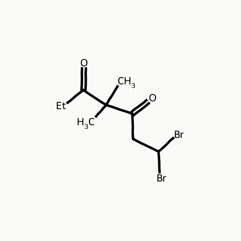 CCC(=O)C(C)(C)C(=O)CC(Br)Br